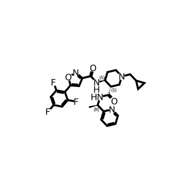 C[C@@H](NC(=O)[C@H]1CN(CC2CC2)CC[C@@H]1NC(=O)c1cc(-c2c(F)cc(F)cc2F)on1)c1ccccn1